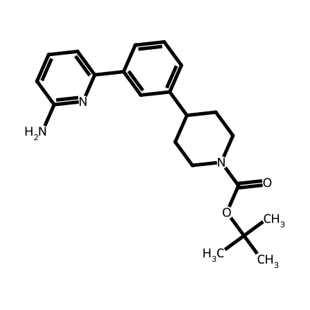 CC(C)(C)OC(=O)N1CCC(c2cccc(-c3cccc(N)n3)c2)CC1